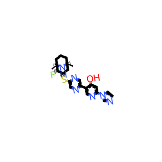 C[C@]12CCC[C@](C)(N1)[C@@H](F)[C@H](Sc1cnc(-c3cnc(-n4ccnc4)cc3O)cn1)C2